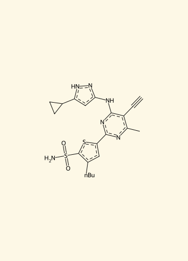 C#Cc1c(C)nc(-c2cc(CCCC)c(S(N)(=O)=O)s2)nc1Nc1cc(C2CC2)[nH]n1